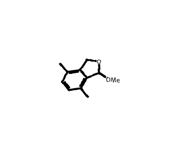 COC1OCc2c(C)ccc(C)c21